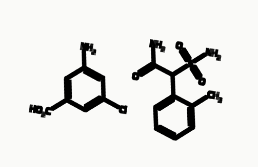 Cc1ccccc1C(C(N)=O)S(N)(=O)=O.Nc1cc(Cl)cc(C(=O)O)c1